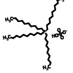 CCCCCCCCCC[P+](CCCCCCCCCC)(CCCCCCCCCC)CCCCCCCCCC.O=S(=O)([O-])O